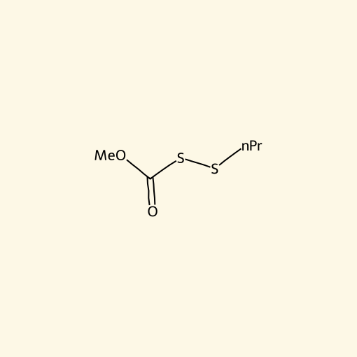 CCCSSC(=O)OC